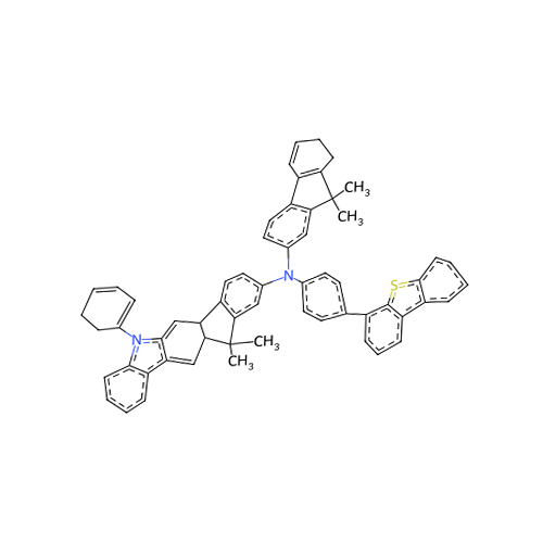 CC1(C)C2=C(C=CCC2)c2ccc(N(c3ccc(-c4cccc5c4sc4ccccc45)cc3)c3ccc4c(c3)C(C)(C)C3C=c5c(n(C6=CC=CCC6)c6ccccc56)=CC43)cc21